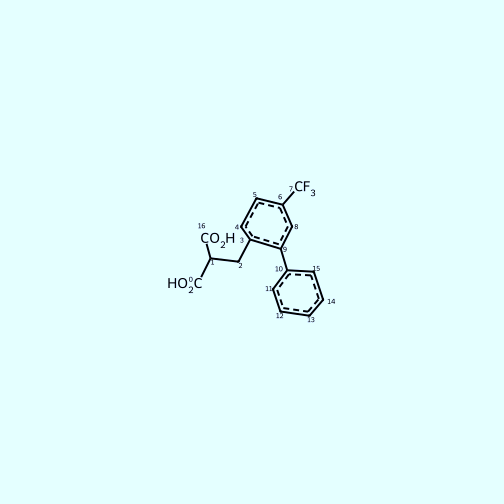 O=C(O)C(Cc1ccc(C(F)(F)F)cc1-c1ccccc1)C(=O)O